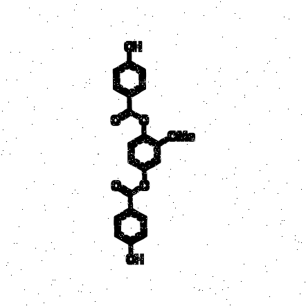 COc1cc(OC(=O)c2ccc(O)cc2)ccc1OC(=O)c1ccc(O)cc1